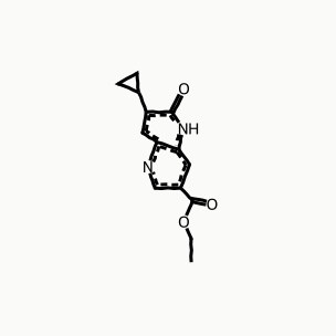 CCOC(=O)c1cnc2cc(C3CC3)c(=O)[nH]c2c1